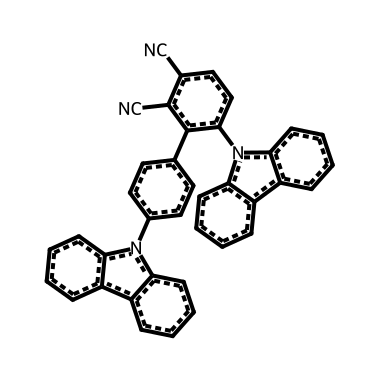 N#Cc1ccc(-n2c3ccccc3c3ccccc32)c(-c2ccc(-n3c4ccccc4c4ccccc43)cc2)c1C#N